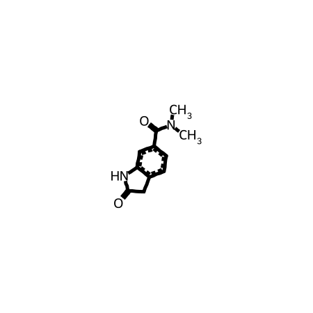 CN(C)C(=O)c1ccc2c(c1)NC(=O)C2